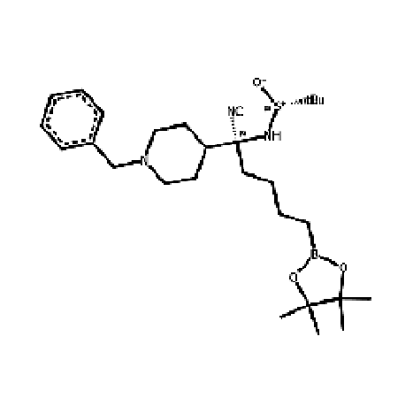 [C-]#[N+][C@@](CCCCB1OC(C)(C)C(C)(C)O1)(N[S@+]([O-])C(C)(C)C)C1CCN(Cc2ccccc2)CC1